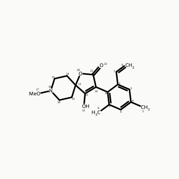 C=Cc1cc(C)cc(C)c1C1=C(O)C2(CCN(OC)CC2)OC1=O